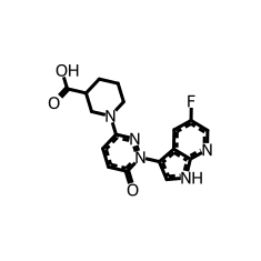 O=C(O)C1CCCN(c2ccc(=O)n(-c3c[nH]c4ncc(F)cc34)n2)C1